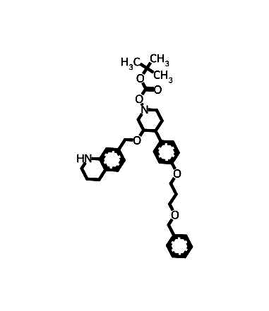 CC(C)(C)OC(=O)ON1CCC(c2ccc(OCCCOCc3ccccc3)cc2)C(OCc2ccc3c(c2)NCCC3)C1